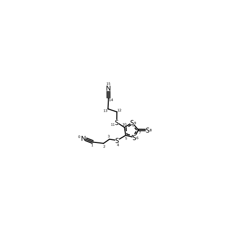 N#CCCSc1sc(=S)sc1SCCC#N